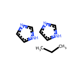 CCC.c1c[nH]cn1.c1c[nH]cn1